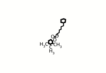 Cc1ccc(OC(=O)OCCCCCCc2ccccc2)c(C)c1C